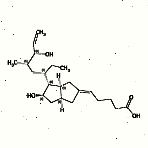 C=C[C@H](O)[C@@H](C)C[C@H](CC)[C@@H]1[C@H]2CC(=CCCCC(=O)O)C[C@H]2C[C@H]1O